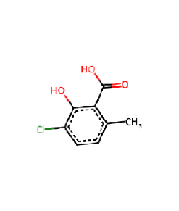 Cc1ccc(Cl)c(O)c1C(=O)O